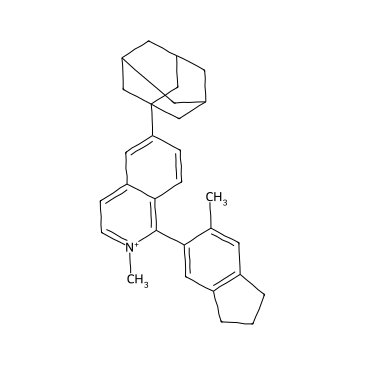 Cc1cc2c(cc1-c1c3ccc(C45CC6CC(CC(C6)C4)C5)cc3cc[n+]1C)CCC2